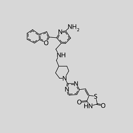 Nc1ccc(CNCC2CCN(c3nccc(C=C4SC(=O)NC4=O)n3)CC2)c(-c2cc3ccccc3o2)n1